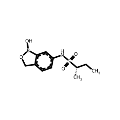 CC[C@H](C)S(=O)(=O)Nc1ccc2c(c1)B(O)OC2